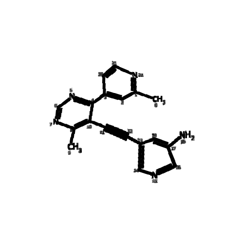 Cc1cc(-c2ncnc(C)c2C#Cc2cncc(N)c2)ccn1